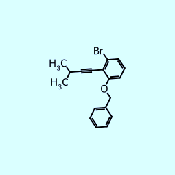 CC(C)C#Cc1c(Br)cccc1OCc1ccccc1